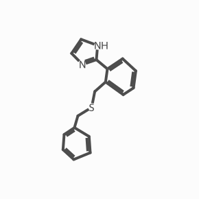 c1ccc(CSCc2ccccc2-c2ncc[nH]2)cc1